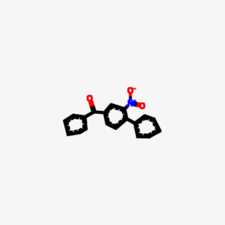 O=C(c1ccccc1)c1ccc(-c2ccccc2)c([N+](=O)[O-])c1